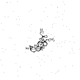 CC[C@@]1(OC(C)=O)CC[C@H]2[C@@H]3CCC4CC[C@H]5CC5[C@@]4(C)[C@@H]3CC[C@@]21C